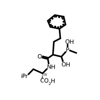 CC(C)C[C@H](NC(=O)C(CCc1ccccc1)C(O)P(C)O)C(=O)O